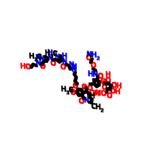 C=C1C[C@H]2C(O)C(C(=O)OCc3ccc(O[C@@H]4O[C@H](C(=O)O)[C@@H](O)[C@H](O)[C@H]4O)c(C(=O)NCCOCCON)c3)c3cc(OCCCCCn4cc(C(=O)Nc5cc(C(=O)Nc6cc(C(=O)NCCCO)n(C)c6)n(C)c5)nn4)c(OC)cc3C(=O)N2C1